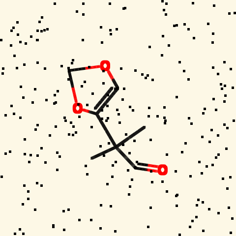 CC(C)(C=O)C1=COCO1